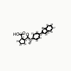 O=C(O)C1=C(C(=O)N(F)c2ccc(-c3cc4ccccc4s3)cc2)CCC1